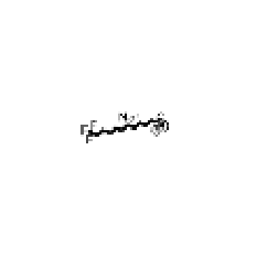 O=S(=O)([O-])CCCCCCCCCCC(F)(F)F.[Na+]